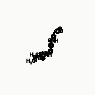 COC(=O)N[C@@H](C)C(=O)N1CCC[C@H]1c1ncc(-c2cccc(-c3ccc(C(=O)Nc4ccc(CN5CCS(=O)(=O)CC5)cc4)cc3)c2)[nH]1